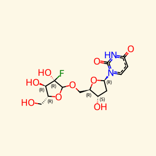 O=c1ccn([C@H]2C[C@H](O)[C@@H](COC3O[C@H](CO)[C@@H](O)[C@@]3(O)F)O2)c(=O)[nH]1